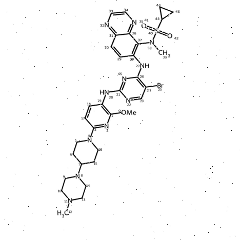 COc1nc(N2CCC(N3CCN(C)CC3)CC2)ccc1Nc1ncc(Br)c(Nc2ccc3nccnc3c2N(C)S(=O)(=O)C2CC2)n1